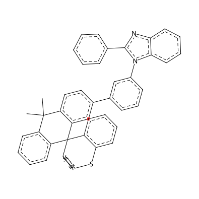 CC1(C)c2ccccc2C2(c3ccccc3Sc3ccccc32)c2cc(-c3cccc(-n4c(-c5ccccc5)nc5ccccc54)c3)ccc21